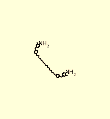 Cc1cc(Cc2ccc(CCCCCCCCCCCCCCCCCc3ccc(Cc4ccc(N)c(C)c4)cc3)cc2)ccc1N